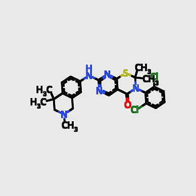 CN1Cc2cc(Nc3ncc4c(n3)SC(C)(C)N(c3c(Cl)cccc3Cl)C4=O)ccc2C(C)(C)C1